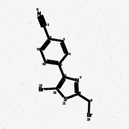 N#Cc1ccc(-c2nc(CBr)sc2Br)cc1